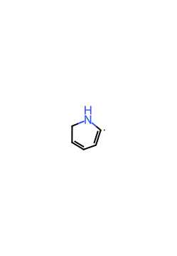 [C]1=CC=CCN1